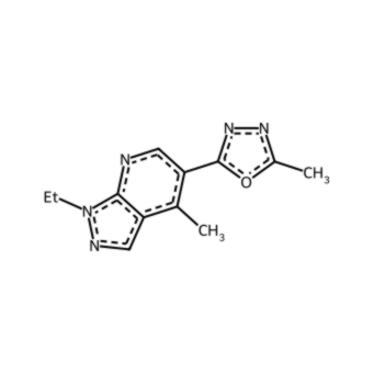 CCn1ncc2c(C)c(-c3nnc(C)o3)cnc21